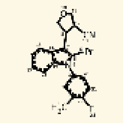 Cc1cc(-n2c(C(C)C)c(C3COCC3C#N)c3ccccc32)ccc1F